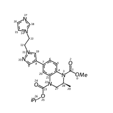 COC(=O)N1c2ccc(-c3cnn(CCn4ccnc4)c3)cc2N(C(=O)OC(C)C)C[C@@H]1C